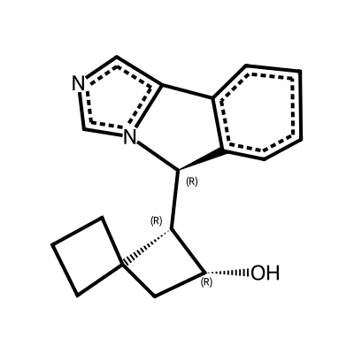 O[C@@H]1CC2(CCC2)[C@@H]1[C@@H]1c2ccccc2-c2cncn21